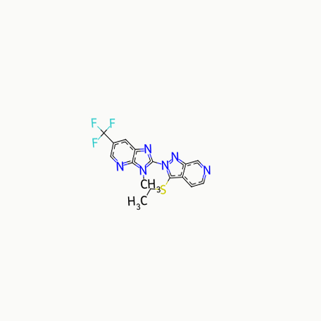 CCSc1c2ccncc2nn1-c1nc2cc(C(F)(F)F)cnc2n1C